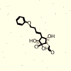 O=CC[C@H]1[C@@H](O)C(C=CCCOc2ccccc2)[C@H](O)[C@@]1(O)Cl